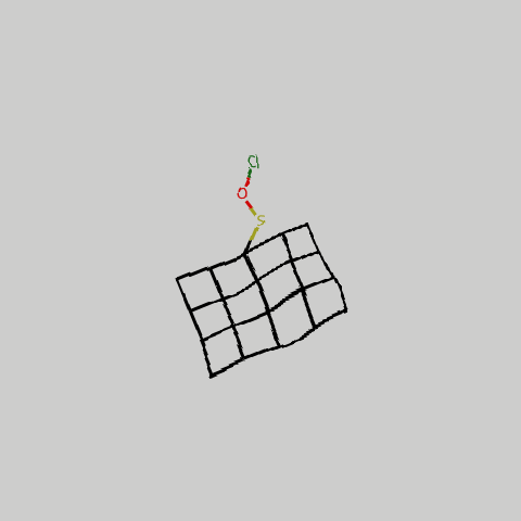 ClOSC12C3CC4C5CC6C7C8CC9C%10CC1C%101C98C78C56C43C218